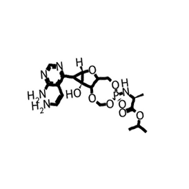 CC(C)OC(=O)[C@H](C)NP1(=O)OCOC2C(CO1)O[C@H]1C(c3ncnc(N)c3/C=C\N)[C@]21O